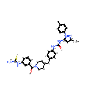 Cc1ccc(-n2nc(C(C)(C)C)cc2NC(=O)Nc2ccc(CC3CCN(C(=O)c4cccc(NC(N)=S)c4)CC3)cc2)cc1